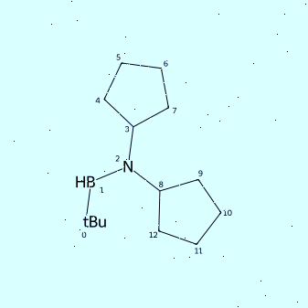 CC(C)(C)BN(C1CCCC1)C1CCCC1